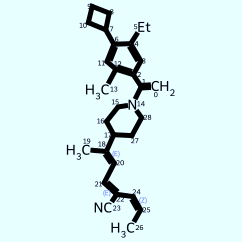 C=C(c1cc(CC)c(C2CCC2)cc1C)N1CCC(/C(C)=C/C=C(C#N)\C=C/C)CC1